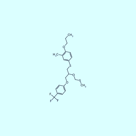 CCCOc1ccc(SCC(COc2ccc(C(F)(F)F)cc2)OCSC)cc1C